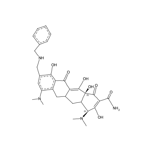 CN(C)c1cc(CNCc2ccccc2)c(O)c2c1CC1CC3[C@H](N(C)C)C(O)=C(C(N)=O)C(=O)[C@@]3(O)C(O)=C1C2=O